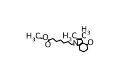 CCOC(=O)CCCCCCn1c(C)c(C)c2c1CCCC2=O